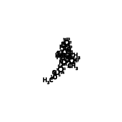 CCOC(=O)CC1CC=C(c2cc(-c3ccc(F)cc3C)c(N(C)C(=O)C(C)(COCc3ccccc3)c3cc(C(F)(F)F)cc(C(F)(F)F)c3)cn2)CC1